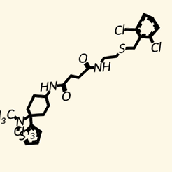 CN(C)C1(c2cccs2)CCC(NC(=O)CCC(=O)NCCSCc2c(Cl)cccc2Cl)CC1